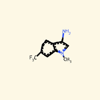 Cn1cc(N)c2ccc(C(F)(F)F)cc21